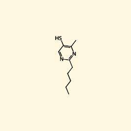 CCCCCc1ncc(S)c(C)n1